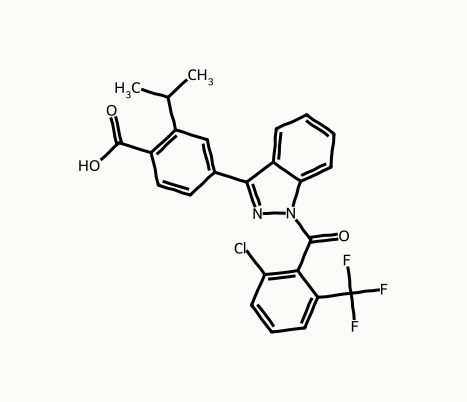 CC(C)c1cc(-c2nn(C(=O)c3c(Cl)cccc3C(F)(F)F)c3ccccc23)ccc1C(=O)O